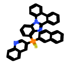 S=P(c1ccc2ccccc2c1)(c1cnc2ccccc2c1)c1cccc2c1nc1c3ccccc3c3ccccc3n21